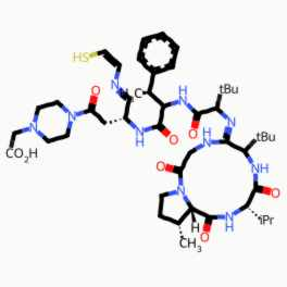 CC(C)[C@@H]1NC(=O)[C@@H]2[C@H](C)CCN2C(=O)CN/C(=N\C(C(=O)NC(C(=O)N[C@@H](/C=N/C=C\S)CC(=O)N2CCN(CC(=O)O)CC2)[C@@H](C)c2ccccc2)C(C)(C)C)C(C(C)(C)C)NC1=O